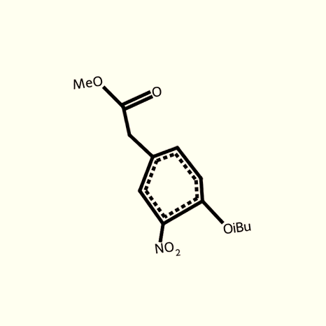 COC(=O)Cc1ccc(OCC(C)C)c([N+](=O)[O-])c1